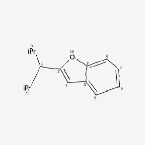 CC(C)C(c1cc2ccccc2o1)C(C)C